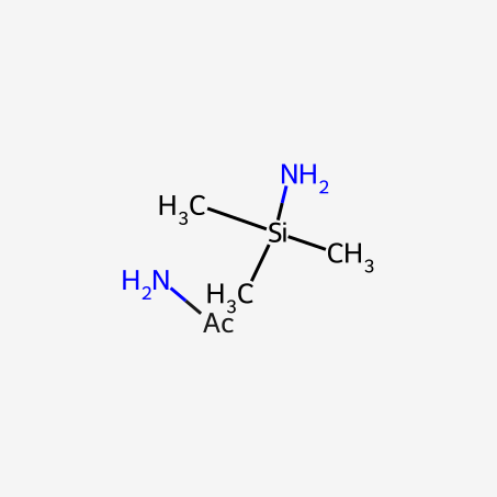 CC(N)=O.C[Si](C)(C)N